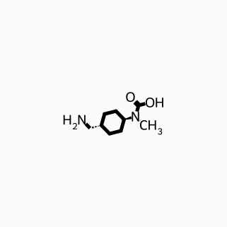 CN(C(=O)O)[C@H]1CC[C@H](CN)CC1